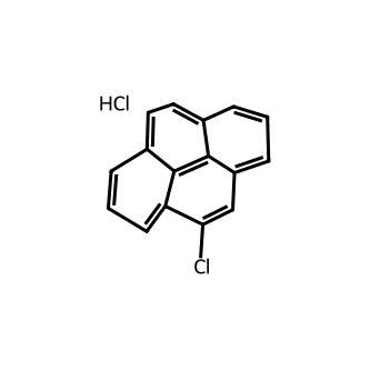 Cl.Clc1cc2cccc3ccc4cccc1c4c32